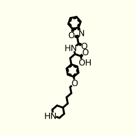 O=C(NC(Cc1ccc(OCCCCC2CCNCC2)cc1)C(=O)O)c1nc2ccccc2o1